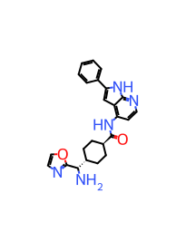 NC(c1ncco1)[C@H]1CC[C@H](C(=O)Nc2ccnc3[nH]c(-c4ccccc4)cc23)CC1